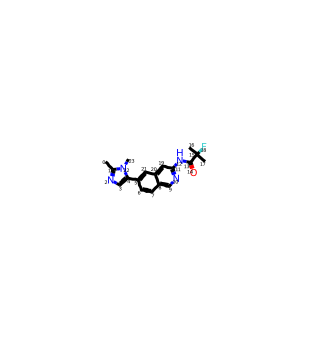 Cc1ncc(-c2ccc3cnc(NC(=O)C(C)(C)F)cc3c2)n1C